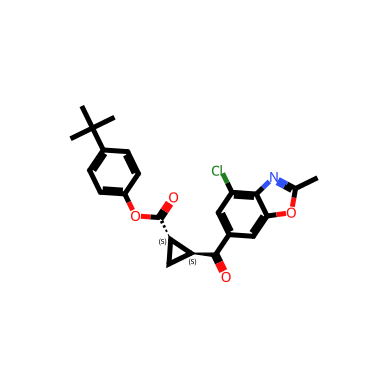 Cc1nc2c(Cl)cc(C(=O)[C@H]3C[C@@H]3C(=O)Oc3ccc(C(C)(C)C)cc3)cc2o1